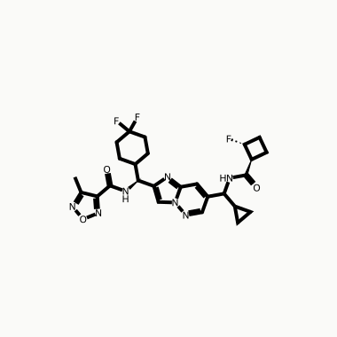 Cc1nonc1C(=O)N[C@H](c1cn2ncc(C(NC(=O)[C@@H]3CC[C@H]3F)C3CC3)cc2n1)C1CCC(F)(F)CC1